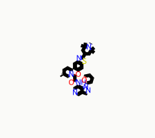 C[C@H]1CC[C@H](c2ccc3sc(C4CC(C)(C)N(C)C(C)(C)C4)nc3c2)N(C(=O)C(=O)Nc2cncc3cnn(C4CCCCO4)c23)C1